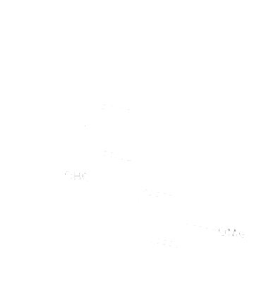 COc1cccc(-c2ccc(C)cc2C=O)c1